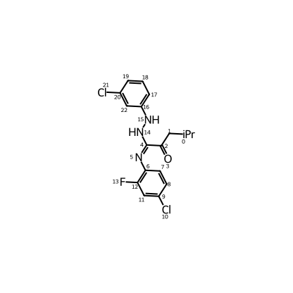 CC(C)CC(=O)/C(=N\c1ccc(Cl)cc1F)NNc1cccc(Cl)c1